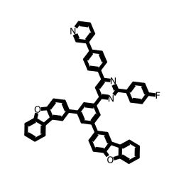 Fc1ccc(-c2nc(-c3ccc(-c4cccnc4)cc3)cc(-c3cc(-c4ccc5oc6ccccc6c5c4)cc(-c4ccc5oc6ccccc6c5c4)c3)n2)cc1